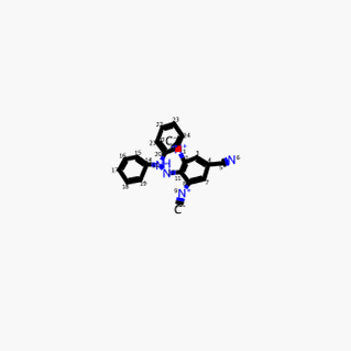 [C-]#[N+]c1cc(C#N)cc([N+]#[C-])c1NN(c1ccccc1)c1ccccc1